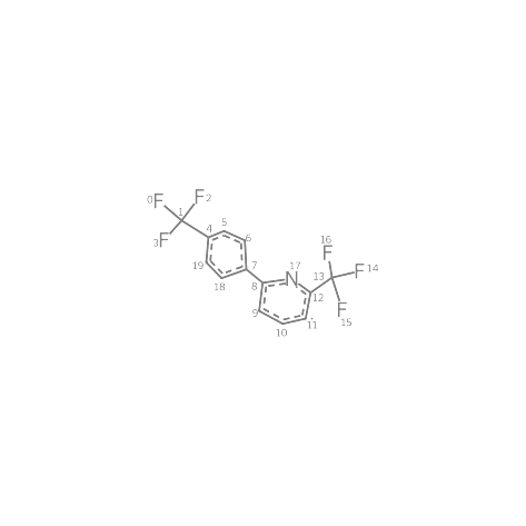 FC(F)(F)c1ccc(-c2cc[c]c(C(F)(F)F)n2)cc1